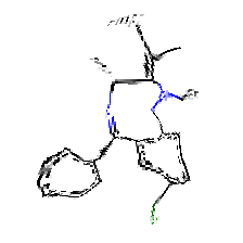 CCOC(=O)/C(C)=C1\[C@@H](C)N=C(c2ccccc2)c2cc(Br)ccc2N1CC